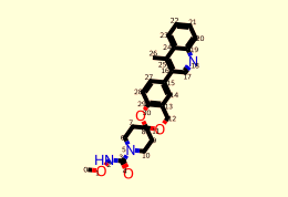 CONC(=O)N1CCC2(CC1)OCc1cc(-c3cnc4ccccc4c3C)ccc1O2